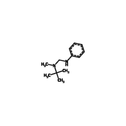 CN(CNc1ccccc1)C(C)(C)C